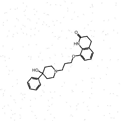 O=C1CCc2cccc(OCCCN3CCC(O)(c4ccccc4)CC3)c2N1